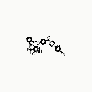 N#Cc1ccc(N2CCN(C(=O)c3ccc(OC[C@@H]4c5ccccc5CN4c4cn[nH]c(=O)c4C(F)(F)F)cc3)CC2)nc1